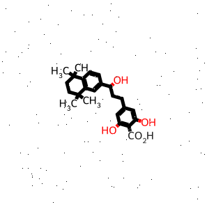 CC1(C)CCC(C)(C)c2cc(C(O)CCc3cc(O)c(C(=O)O)c(O)c3)ccc21